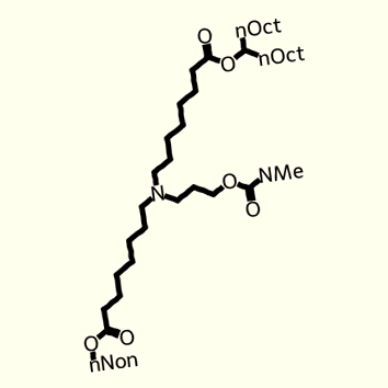 CCCCCCCCCOC(=O)CCCCCCCN(CCCCCCCC(=O)OC(CCCCCCCC)CCCCCCCC)CCCOC(=O)NC